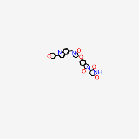 O=C1CCC(N2Cc3cc(O[C@H]4CCN(Cc5ccc6nc(C7CCOCC7)ccc6c5)C4=O)ccc3C2=O)C(=O)N1